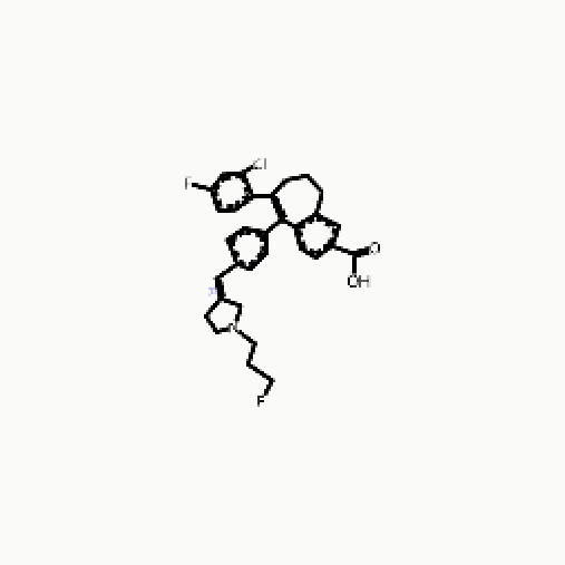 O=C(O)c1ccc2c(c1)CCCC(c1ccc(F)cc1Cl)=C2c1ccc(/C=C2/CCN(CCCF)C2)cc1